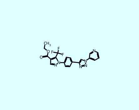 CCOC(=O)c1cnn(-c2ccc(-c3cn(-c4cccnc4)nn3)cc2)c1C(F)(F)F